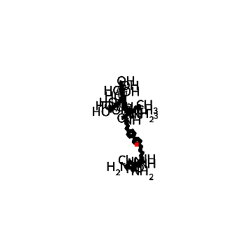 CC(C)C[C@H](N)C(=O)N[C@@H](CCCCN(C[C@H](O)[C@@H](O)[C@H](O)[C@H](O)CO)C[C@H](O)[C@@H](O)[C@H](O)[C@H](O)CO)C(=O)NCCCc1ccc(-c2ccc(CCCCNC(=N)NC(=O)c3nc(Cl)c(N)nc3N)cc2)cc1